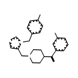 Cc1cccc(C(=O)C2CCN(Cc3cncn3Cc3ccc(C#N)cc3)CC2)c1